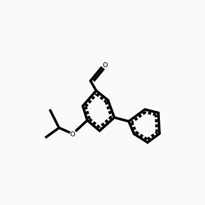 CC(C)Oc1cc(C=O)cc(-c2ccccc2)c1